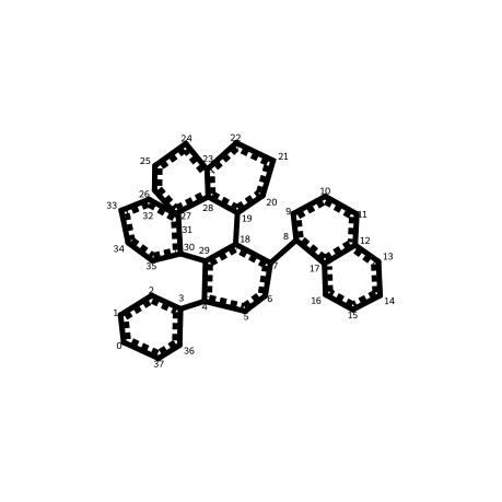 c1ccc(-c2ccc(-c3cccc4ccccc34)c(-c3cccc4ccccc34)c2-c2ccccc2)cc1